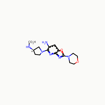 Nc1cc2oc(N3CCOCC3)nc2nc1N1CC[C@@H](NC(=O)O)C1